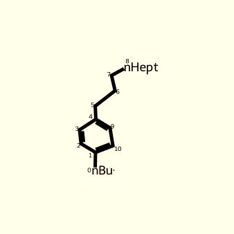 CCC[CH]c1ccc(CCCCCCCCCC)cc1